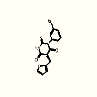 O=C1NC(=S)N(c2cccc(Br)c2)C(=O)C1=Cc1ccco1